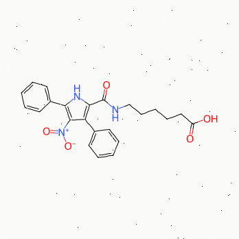 O=C(O)CCCCCNC(=O)c1[nH]c(-c2ccccc2)c([N+](=O)[O-])c1-c1ccccc1